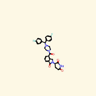 O=C1CCC(N2Cc3c(C(=O)N4CCN(C(c5ccc(F)cc5)c5ccc(F)cc5)CC4)cccc3C2=O)C(=O)N1